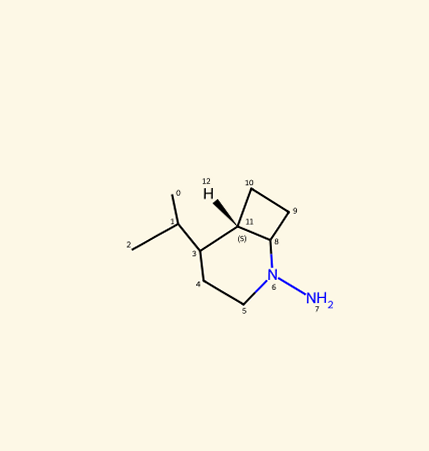 CC(C)C1CCN(N)C2CC[C@@H]12